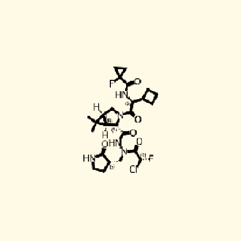 CC1(C)[C@@H]2[C@@H](C(=O)NN(C[C@@H]3CCNC3=O)C(=O)[C@H](F)Cl)N(C(=O)[C@@H](NC(=O)C3(F)CC3)C3CCC3)C[C@@H]21